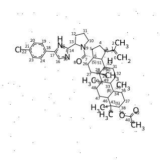 C=C(C)[C@@H]1CC[C@]2(C(=O)N3CCCC3c3ncc(-c4ccc(Cl)cc4)[nH]3)CC[C@]3(C)[C@H](CCC4[C@@]5(C)CC[C@H](OC(C)=O)C(C)(C)C5CC[C@]43C)C12